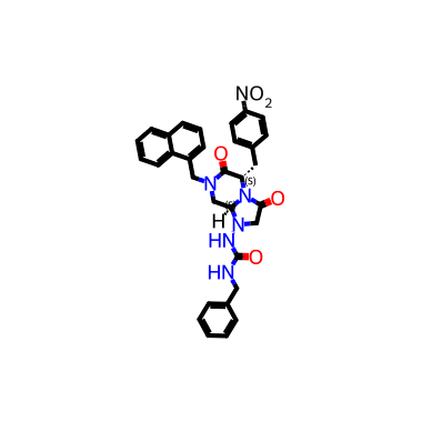 O=C(NCc1ccccc1)NN1CC(=O)N2[C@@H]1CN(Cc1cccc3ccccc13)C(=O)[C@@H]2Cc1ccc([N+](=O)[O-])cc1